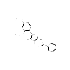 COc1ccc(-c2oc(NC(=O)c3ccccc3)c(O)c2O)c(OC)c1